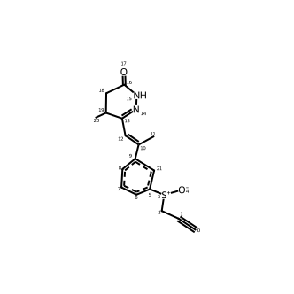 C#CC[S+]([O-])c1cccc(C(C)=CC2=NNC(=O)CC2C)c1